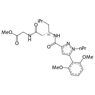 CCCn1nc(C(=O)N[C@H](CC(=O)NCC(=O)OC)CC(C)C)cc1-c1c(OC)cccc1OC